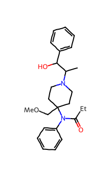 CCC(=O)N(c1ccccc1)C1(COC)CCN(C(C)C(O)c2ccccc2)CC1